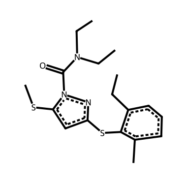 CCc1cccc(C)c1Sc1cc(SC)n(C(=O)N(CC)CC)n1